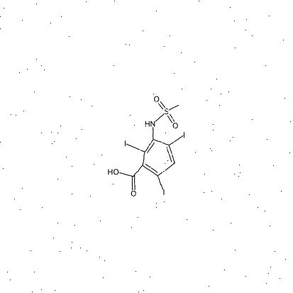 CS(=O)(=O)Nc1c(I)cc(I)c(C(=O)O)c1I